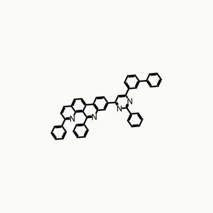 c1ccc(-c2cccc(-c3cc(-c4ccc5c(c4)nc(-c4ccccc4)c4c5ccc5ccc(-c6ccccc6)nc54)nc(-c4ccccc4)n3)c2)cc1